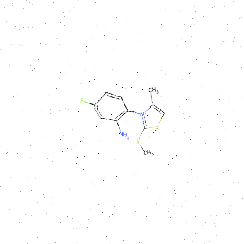 CSc1scc(C)[n+]1-c1ccc(F)cc1N